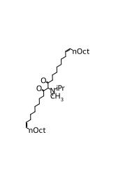 CCCCCCCC/C=C\CCCCCCCC(=O)C(C(=O)CCCCCCC/C=C\CCCCCCCC)N(C)C(C)C